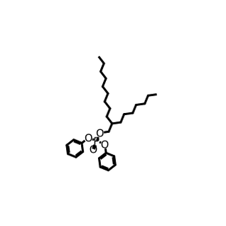 CCCCCCCCCC(CCCCCCC)COP(=O)(Oc1ccccc1)Oc1ccccc1